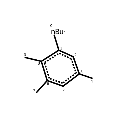 CCC[CH]c1cc(C)cc(C)c1C